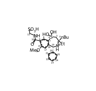 CCCC[C@]1(CC)CS(O)(O)c2cc(C(=O)NCS(=O)(=O)O)c(OC)cc2[C@@H](c2ccccc2)N1